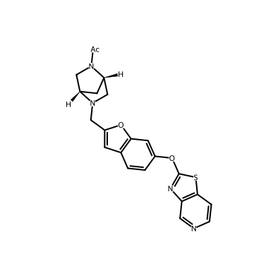 CC(=O)N1C[C@@H]2C[C@H]1CN2Cc1cc2ccc(Oc3nc4cnccc4s3)cc2o1